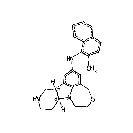 Cc1ccc2ccccc2c1Nc1cc2c3c(c1)[C@@H]1CNCC[C@@H]1N3CCOC2